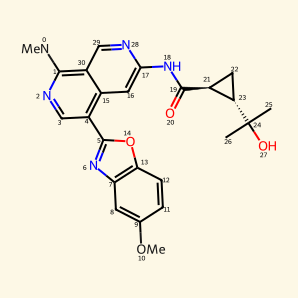 CNc1ncc(-c2nc3cc(OC)ccc3o2)c2cc(NC(=O)[C@H]3C[C@@H]3C(C)(C)O)ncc12